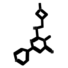 CN1CC(CNc2nc(-c3ccncc3)cc(=O)n2C)C1